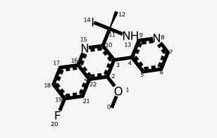 COc1c(-c2cccnc2)c([C@@](C)(N)I)nc2ccc(F)cc12